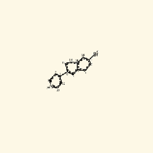 Brc1ccc2cc(-c3ccncc3)ccc2c1